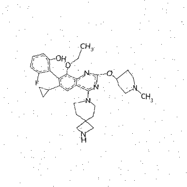 CCOc1c(-c2c(O)cccc2F)c(C2CC2)cc2c(N3CCC4(CC3)CNC4)nc(OC3CCN(C)CC3)nc12